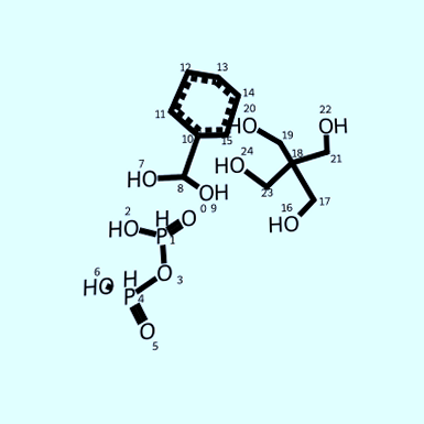 O=[PH](O)O[PH](=O)O.OC(O)c1ccccc1.OCC(CO)(CO)CO